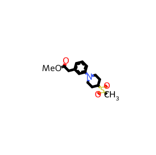 COC(=O)Cc1cccc(N2CCC(S(C)(=O)=O)CC2)c1